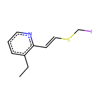 CCc1cccnc1/C=C/SCI